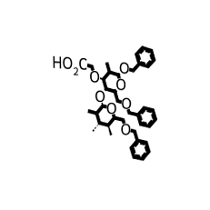 CC1[C@H](O[C@@H]2C(COCc3ccccc3)O[C@H](OCc3ccccc3)C(C)[C@H]2OCC(=O)O)OC(COCc2ccccc2)[C@@H](C)[C@@H]1C